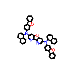 c1ccc2c(N(c3ccc4c(c3)oc3ccccc34)c3cnc4c(c3)oc3cc(N(c5ccc6c(c5)oc5ccccc56)c5cccc6ccccc56)cnc34)cccc2c1